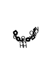 CN(C(=O)c1ccno1)C1CCN(c2ccc(NC(=O)Nc3ccc(Oc4ccccc4)cc3)cc2)C1